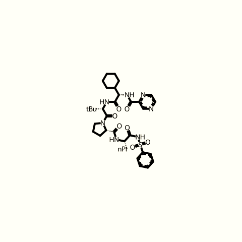 CCC[C@H](NC(=O)[C@@H]1CCCN1C(=O)[C@@H](NC(=O)[C@@H](NC(=O)c1cnccn1)C1CCCCC1)C(C)(C)C)C(=O)NS(=O)(=O)c1ccccc1